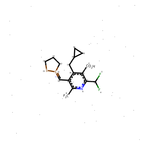 O=C(O)c1c(C(F)F)nc(C(F)(F)F)c(/C=S2\CCCS2)c1CC1CC1